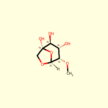 CO[C@@H]1[C@H]2OC[C@](O)(O2)[C@@H](O)[C@@H]1O